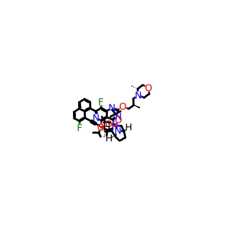 CC(C)[Si](C#Cc1c(F)ccc2cccc(-c3nc4c5c(nc(OC[C@H](C)CN6CCOC[C@H]6C)nc5c3F)N3C[C@H]5CC[C@@H]([C@H]3[C@H](C)O4)N5C(=O)OC(C)(C)C)c12)(C(C)C)C(C)C